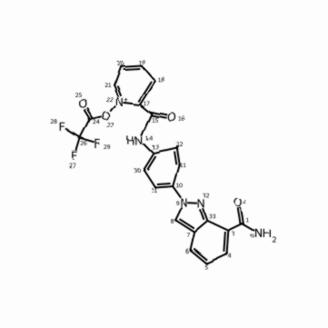 NC(=O)c1cccc2cn(-c3ccc(NC(=O)c4cccc[n+]4OC(=O)C(F)(F)F)cc3)nc12